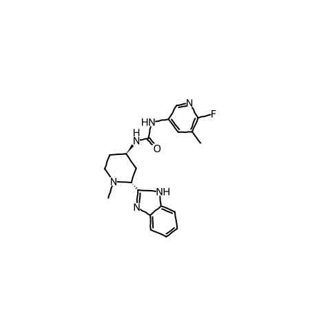 Cc1cc(NC(=O)N[C@@H]2CCN(C)[C@@H](c3nc4ccccc4[nH]3)C2)cnc1F